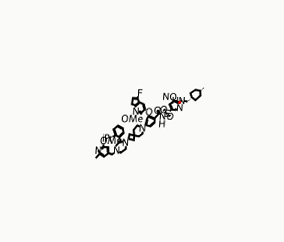 COc1cc(CN2CCN(C3CC4(CCN(c5ccc(C(=O)NS(=O)(=O)c6cnc(NC[C@H]7CC[C@@H](C)CC7)c(N=O)c6)c(Oc6cc7c(nc6OC)CC=C7F)c5)CC4)C3)[C@H](c3ccccc3C(C)C)C2)cc(C)n1